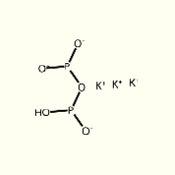 [K+].[K+].[K+].[O-]P([O-])OP([O-])O